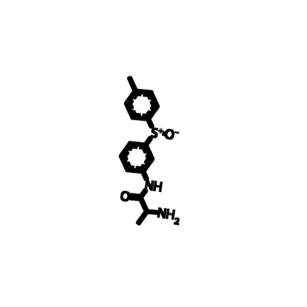 Cc1ccc([S+]([O-])c2cccc(NC(=O)C(C)N)c2)cc1